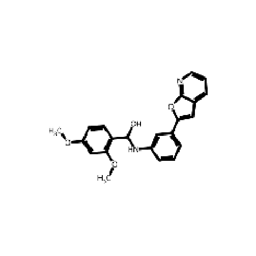 COc1ccc(C(O)Nc2cccc(-c3cc4cccnc4o3)c2)c(OC)c1